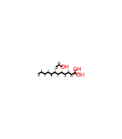 CCCCCCCCCCCC(O)O.CCO